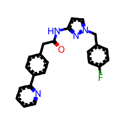 O=C(Cc1ccc(-c2ccccn2)cc1)Nc1ccn(Cc2ccc(F)cc2)n1